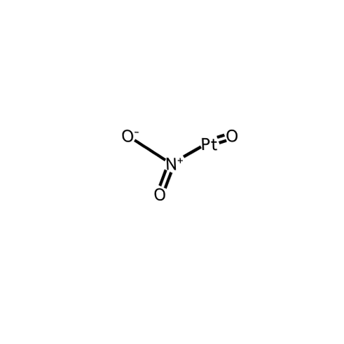 [O]=[Pt][N+](=O)[O-]